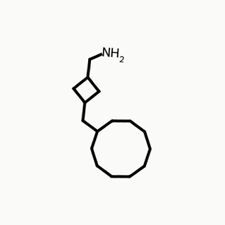 NCC1CC(CC2CCCCCCCCC2)C1